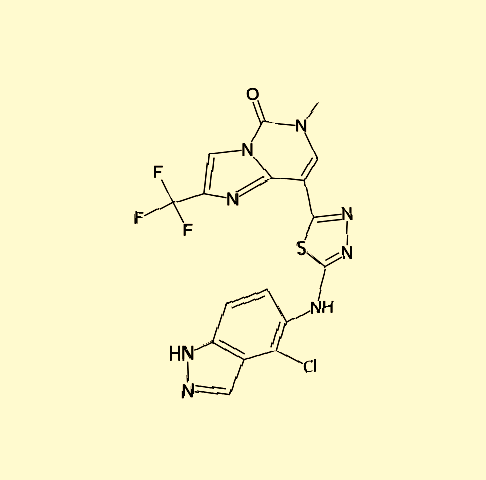 Cn1cc(-c2nnc(Nc3ccc4[nH]ncc4c3Cl)s2)c2nc(C(F)(F)F)cn2c1=O